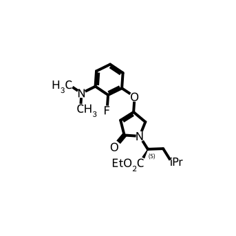 CCOC(=O)[C@H](CC(C)C)N1CC(Oc2cccc(N(C)C)c2F)=CC1=O